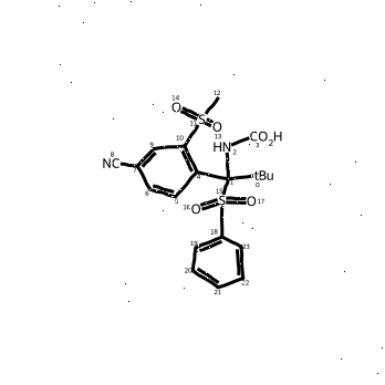 CC(C)(C)C(NC(=O)O)(c1ccc(C#N)cc1S(C)(=O)=O)S(=O)(=O)c1ccccc1